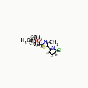 Cc1nc(CO[Si](C)(C)C(C)(C)C)sc1-c1cccc(Cl)n1